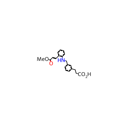 COC(=O)C=Cc1ccccc1NCc1cccc(CCC(=O)O)c1